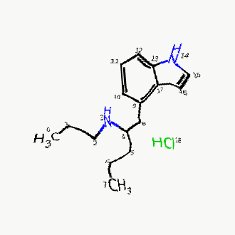 CCCNC(CCC)Cc1cccc2[nH]ccc12.Cl